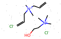 C=CC[N+](C)(C)CC=C.C[N+](C)(C)CCO.[Cl-].[Cl-]